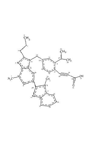 CCCc1nc2c(C)cc(-c3nc4ccccc4n3C)cc2n1Cc1ccc(C#CC(=O)O)c(C(C)C)c1